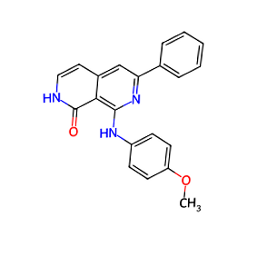 COc1ccc(Nc2nc(-c3ccccc3)cc3cc[nH]c(=O)c23)cc1